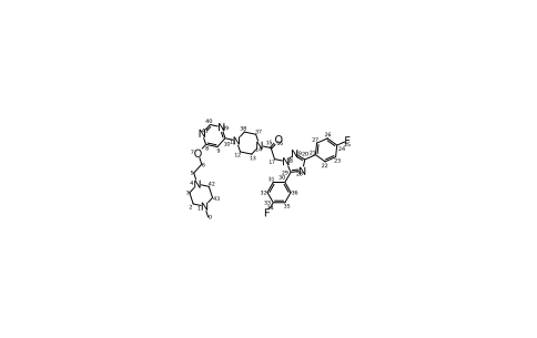 CN1CCN(CCOc2cc(N3CCN(C(=O)Cn4nc(-c5ccc(F)cc5)nc4-c4ccc(F)cc4)CC3)ncn2)CC1